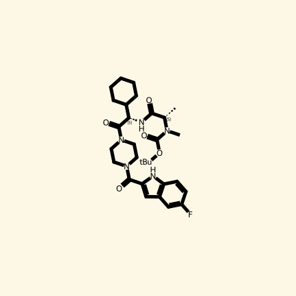 C[C@@H](C(=O)N[C@H](C(=O)N1CCN(C(=O)c2cc3cc(F)ccc3[nH]2)CC1)C1CCCCC1)N(C)C(=O)OC(C)(C)C